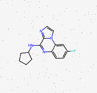 Fc1ccc2nc(NC3CCCC3)c3nccn3c2c1